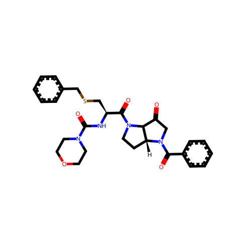 O=C1CN(C(=O)c2ccccc2)[C@@H]2CCN(C(=O)[C@H](CSCc3ccccc3)NC(=O)N3CCOCC3)C12